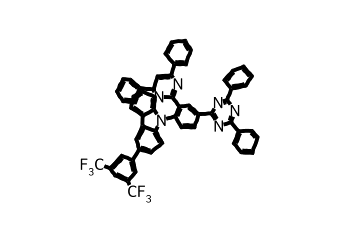 FC(F)(F)c1cc(-c2ccc3c(c2)c2ccccc2n3-c2ccc(-c3nc(-c4ccccc4)nc(-c4ccccc4)n3)cc2-c2nc(-c3ccccc3)cc(-c3ccccc3)n2)cc(C(F)(F)F)c1